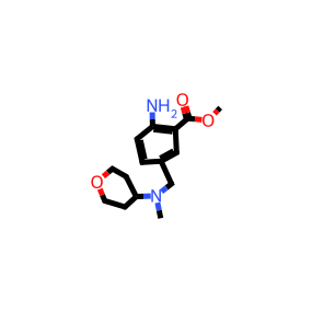 COC(=O)c1cc(CN(C)C2CCOCC2)ccc1N